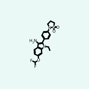 CCn1c(-c2ccc(N3CCCS3(=O)=O)cc2)c(N)c2ccc(OC(F)F)cc21